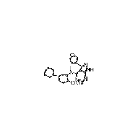 COc1ccc(-c2ccccc2)cc1Nc1ncnc2[nH]nc(-c3ccoc3)c12